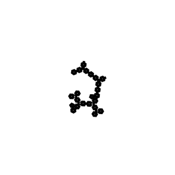 Cc1ccc(N(c2ccc(-c3ccccc3)cc2)c2ccc(-c3ccc(-c4ccc(N(c5ccc(C)cc5)c5ccc(-c6ccc(-c7ccc8c(c7)C7(CCCC7)c7cc(N(c9ccc(-c%10ccc(N(c%11ccc(N(c%12ccccc%12)c%12ccccc%12)cc%11)c%11ccc%12c(c%11)C%11(CCCC%11)c%11ccccc%11-%12)cc%10)cc9)c9ccc(N(c%10ccccc%10)c%10ccccc%10)cc9)ccc7-8)cc6)cc5)cc4)cc3)cc2)cc1